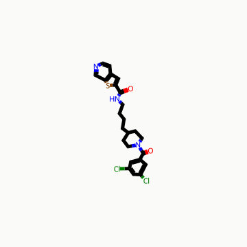 O=C(NCCCCC1CCN(C(=O)c2cc(Cl)cc(Cl)c2)CC1)c1cc2ccncc2s1